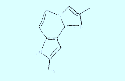 CCCCc1cc2c(ccn3cc(C)nc23)[nH]1